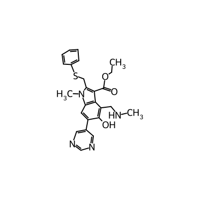 CCOC(=O)c1c(CSc2ccccc2)n(C)c2cc(-c3cncnc3)c(O)c(CNC)c12